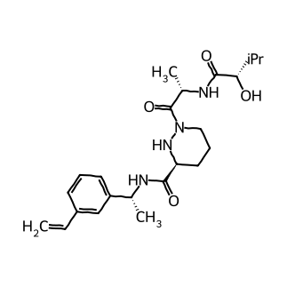 C=Cc1cccc([C@@H](C)NC(=O)[C@@H]2CCCN(C(=O)[C@H](C)NC(=O)[C@@H](O)C(C)C)N2)c1